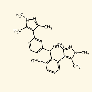 Cc1nn(C)c(C)c1-c1cccc(C(O)c2c(C=O)cccc2-c2c(C)nn(C)c2C)c1